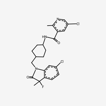 Cc1ncc(Cl)cc1C(=O)NC1CCC(CN2C(=O)C(C)(F)c3ccc(Cl)cc32)CC1